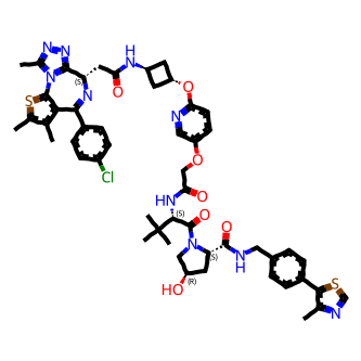 Cc1ncsc1-c1ccc(CNC(=O)[C@@H]2C[C@@H](O)CN2C(=O)[C@@H](NC(=O)COc2ccc(O[C@H]3C[C@H](NC(=O)C[C@@H]4N=C(c5ccc(Cl)cc5)c5c(sc(C)c5C)-n5c(C)nnc54)C3)nc2)C(C)(C)C)cc1